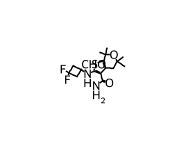 CC1(C)Cc2c(sc(NC3(C=O)CC(F)(F)C3)c2C(N)=O)C(C)(C)O1